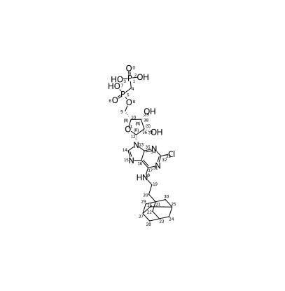 O=P(O)(O)CP(=O)(O)OC[C@H]1O[C@@H](n2cnc3c(NCCC45CC6CC(CC(C6)C4)C5)nc(Cl)nc32)[C@@H](O)[C@H]1O